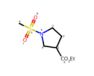 CCOC(=O)C1CCN(S(C)(=O)=O)C1